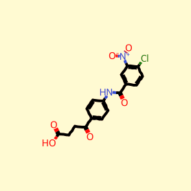 O=C(O)CCC(=O)c1ccc(NC(=O)c2ccc(Cl)c([N+](=O)[O-])c2)cc1